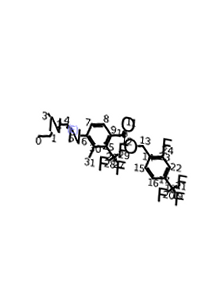 CCN(C)/C=N/c1ccc(C(=O)OCc2ccc(C(F)(F)F)cc2F)c(C(F)(F)F)c1C